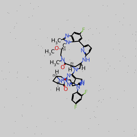 CO[C@H]1CN(C)C(=O)[C@@H]2C[C@@H](CN2c2nc(N3[C@H]4C[C@@H]3C(=O)N(CCC#N)C4)nc3c2cnn3-c2ccc(F)cc2F)Nc2cccc(n2)-c2cc(F)cc3nc(C)n(c23)C1